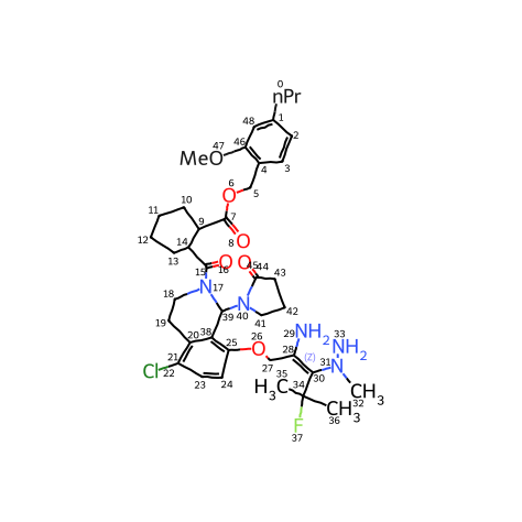 CCCc1ccc(COC(=O)C2CCCCC2C(=O)N2CCc3c(Cl)ccc(OC/C(N)=C(/N(C)N)C(C)(C)F)c3C2N2CCCC2=O)c(OC)c1